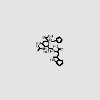 CC(=O)N[C@@H]1C(O)C[C@](OCc2ccccc2)(C(=O)O)OC1[C@H](O)CNC(Cc1c[nH]c2ccccc12)C(=O)O